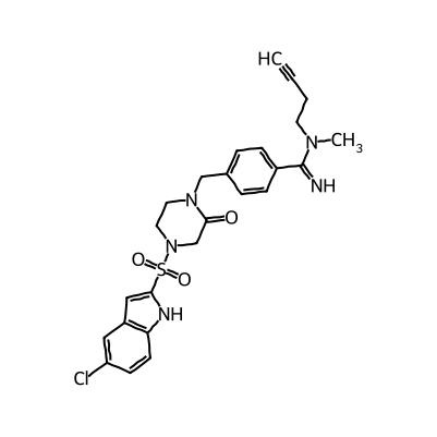 C#CCCN(C)C(=N)c1ccc(CN2CCN(S(=O)(=O)c3cc4cc(Cl)ccc4[nH]3)CC2=O)cc1